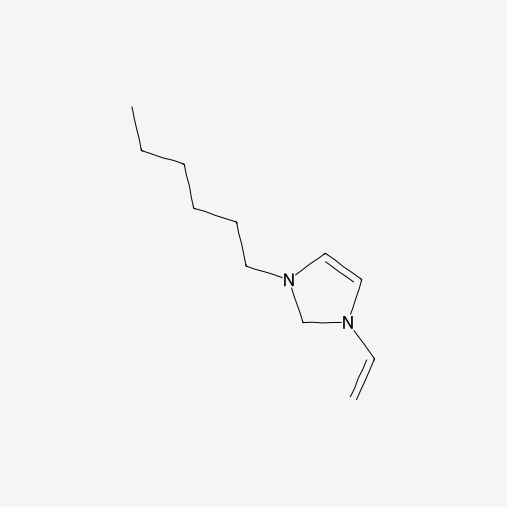 C=CN1C=CN(CCCCCC)C1